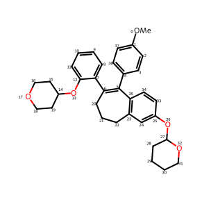 COc1ccc(C2=C(c3ccccc3OC3CCOCC3)CCCc3cc(OC4CCCCO4)ccc32)cc1